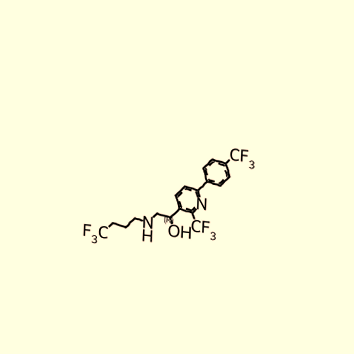 O[C@@H](CNCCCC(F)(F)F)c1ccc(-c2ccc(C(F)(F)F)cc2)nc1C(F)(F)F